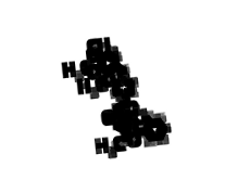 COc1ccc(CN2CCN(C(=O)CS(=O)(=O)Cc3nc(-c4ccccc4Cl)oc3C)CC2)c(OC)c1OC